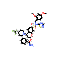 COc1ccc(CN(c2ncns2)S(=O)(=O)c2ccc3c(c2)OCCC3N2CC[C@@H](C(F)(F)F)C[C@H]2c2cccc(C(N)=O)c2)c(OC)c1